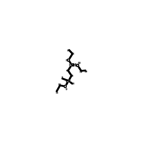 CCO[SiH](CC[Si](C)(C)OCC)OCC